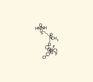 CN(CCCOc1ccccc1CN(c1cc(F)ccc1F)S(=O)(=O)c1ccc(Cl)cc1)C(=O)CCCCC1SCC2NC(=O)NC21